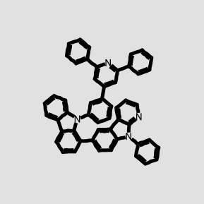 c1ccc(-c2cc(-c3cccc(-n4c5ccccc5c5cccc(-c6ccc7c(c6)c6cccnc6n7-c6ccccc6)c54)c3)cc(-c3ccccc3)n2)cc1